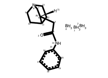 B.B.B.O=C(C[C@H]1CN2CCC1CC2)Nc1ccccc1